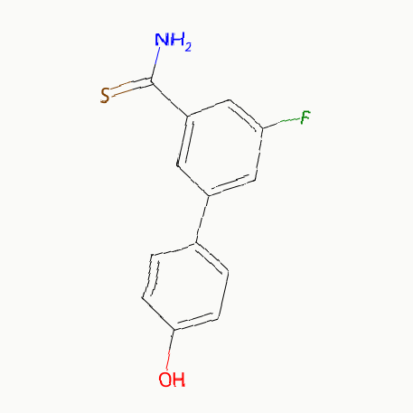 NC(=S)c1cc(F)cc(-c2ccc(O)cc2)c1